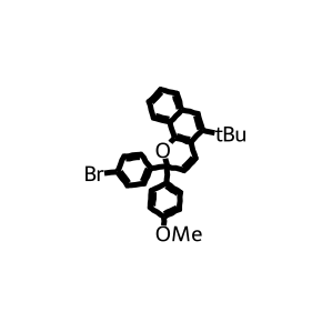 COc1ccc(C2(c3ccc(Br)cc3)C=Cc3c(C(C)(C)C)cc4ccccc4c3O2)cc1